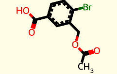 CC(=O)OCc1cc(C(=O)O)ccc1Br